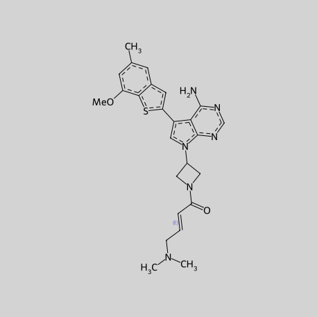 COc1cc(C)cc2cc(-c3cn(C4CN(C(=O)/C=C/CN(C)C)C4)c4ncnc(N)c34)sc12